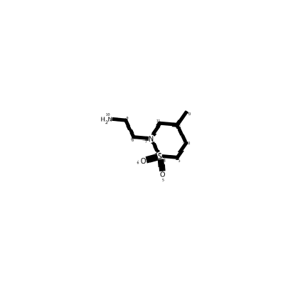 CC1CCS(=O)(=O)N(CCN)C1